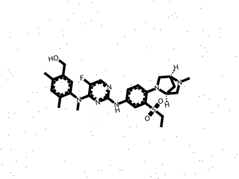 CCS(=O)(=O)c1cc(Nc2ncc(F)c(N(C)c3cc(CO)c(C)cc3C)n2)ccc1N1C[C@@H]2C[C@H]1CN2C